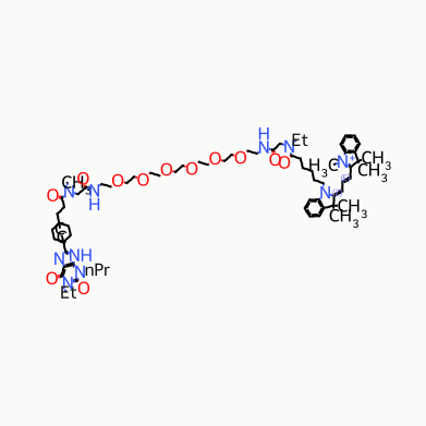 CCCn1c(=O)n(CC)c(=O)c2nc(C34CCC(CCC(=O)N(C)CC(=O)NCCOCCOCCOCCOCCOCCOCCNC(=O)CN(CC)C(=O)CCCCCN5/C(=C\C=C\C6=[N+](C)c7ccccc7C6(C)C)C(C)(C)c6ccccc65)(CC3)CC4)[nH]c21